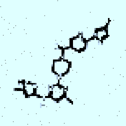 Cc1cc(Nc2cc(C)[nH]n2)nc(N2CCN(C(=O)c3ccc(-n4cc(F)cn4)nc3)CC2)n1